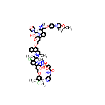 Cc1cc(OCCCc2c(C(=O)NS(=O)(=O)c3ccc(C(=O)NCc4ccncc4)o3)[nH]c3c(-c4c(C)nn(C(C)Cc5cc(OCCCc6c(C(=O)O)n(CCN7CCOCC7)c7c(-c8c(C)nn(C)c8COc8ccc(N9CCC(OC(C)C)CC9)cc8)cccc67)c6ccccc6c5)c4C)c(Cl)ccc23)cc(C)c1Cl